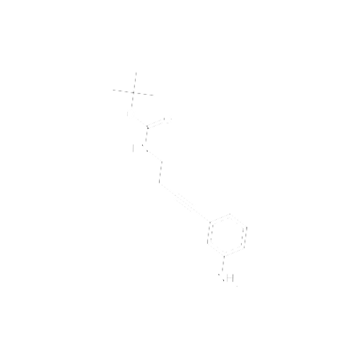 CC(C)(C)OC(=O)NCCC#Cc1cccc(N)c1